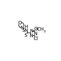 COc1nc(Cl)nc(C(=S)NSN2CCOCC2)n1